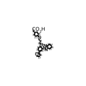 O=C(O)Cc1ccc(OCCCOc2ccc(-c3ccco3)cc2-n2nc3ccccc3n2)cc1